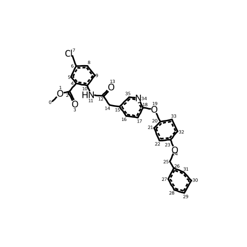 COC(=O)c1cc(Cl)ccc1NC(=O)Cc1ccc(Oc2ccc(OCc3ccccc3)cc2)nc1